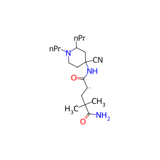 CCCC1CC(C#N)(NC(=O)[CH]CC(C)(C)C(N)=O)CCN1CCC